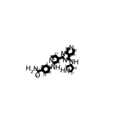 NC(=O)c1ccc(Nc2cc(-c3nc(NC4CCNC4)c4ccncc4n3)ccn2)cc1